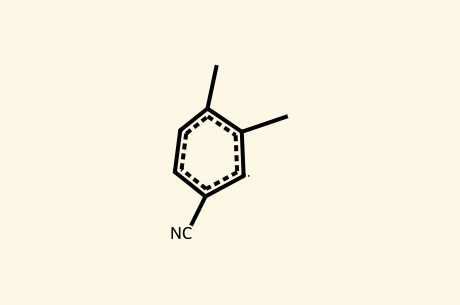 Cc1[c]c(C#N)ccc1C